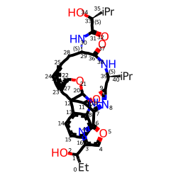 CCC(O)c1coc(-c2nc3oc2C24c5ccccc5NC2Oc2ccc(cc24)C[C@H](NC(=O)[C@@H](O)C(C)C)C(=O)N[C@H]3C(C)C)n1